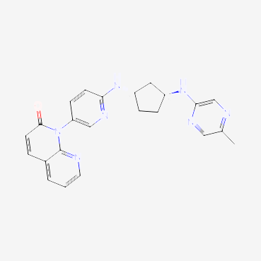 Cc1cnc(N[C@H]2CC[C@H](Nc3ccc(-n4c(=O)ccc5cccnc54)cn3)C2)cn1